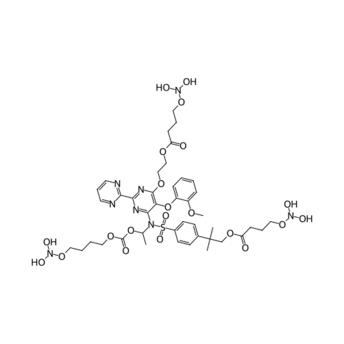 COc1ccccc1Oc1c(OCCOC(=O)CCCON(O)O)nc(-c2ncccn2)nc1N(C(C)OC(=O)OCCCCON(O)O)S(=O)(=O)c1ccc(C(C)(C)COC(=O)CCCON(O)O)cc1